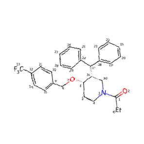 CCC(=O)N1CC[C@H](OCc2ccc(C(F)(F)F)cc2)[C@H](C(c2ccccc2)c2ccccc2)C1